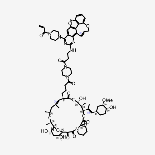 C=CC(=O)N1CCN(c2nc(NCCC(=O)N3CCN(C(=O)CCC[C@@H]4/C=C(\C)C[C@H](C)C[C@H](C)[C@H]5O[C@@](O)(C(=O)C(=O)N6CCCC[C@H]6C(=O)O[C@H](/C(C)=C/[C@@H]6CC[C@@H](O)[C@H](OC)C6)[C@H](C)[C@@H](O)CC4=O)[C@H](C)C[C@@H]5O)CC3)nc3c4c(c(Cl)cc23)-c2c(F)cccc2OC/C=C/4)CC1